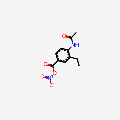 CCc1cc(C(=O)O[N+](=O)[O-])ccc1NC(C)=O